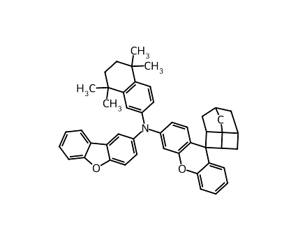 CC1(C)CCC(C)(C)c2cc(N(c3ccc4c(c3)Oc3ccccc3C43C4CC5CC6CC3C64C5)c3ccc4oc5ccccc5c4c3)ccc21